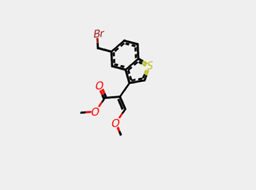 COC=C(C(=O)OC)c1csc2ccc(CBr)cc12